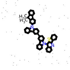 CC1(C)c2ccccc2-c2ccc(-n3c4ccccc4c4cc(-c5ccc6c(c5)c5ccccc5n6-c5c6ccccc6nc6c5sc5ccccc56)ccc43)cc21